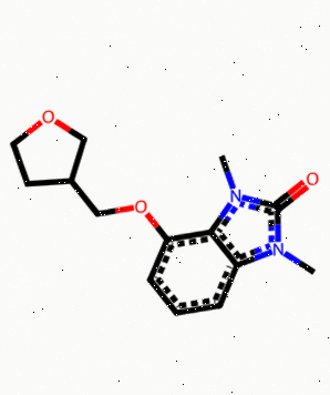 Cn1c(=O)n(C)c2c(OCC3CCOC3)cccc21